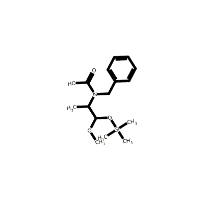 COC(O[Si](C)(C)C)C(C)N(Cc1ccccc1)C(=O)O